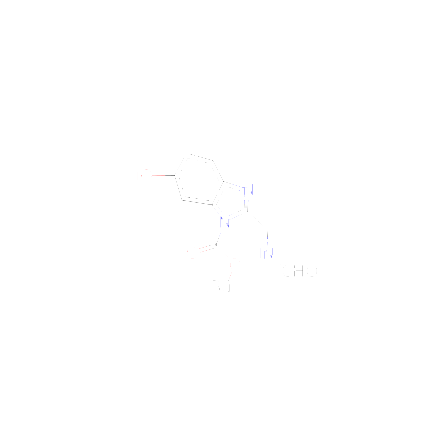 CC(C)(C)OC(=O)n1c(CNC=O)nc2ccc(O)cc21